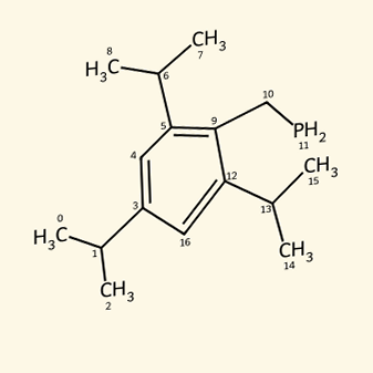 CC(C)c1cc(C(C)C)c(CP)c(C(C)C)c1